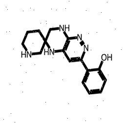 Oc1ccccc1-c1cc2c(nn1)NCC1(CCCNC1)N2